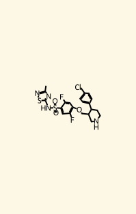 Cc1nsc(NS(=O)(=O)c2cc(F)c(OCC3CNCCC3c3ccc(Cl)cc3)cc2F)n1